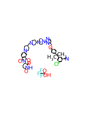 CC(C)(c1ccc(OCc2ccnc(N3CCN(C4CCN(CC5CCN(c6ccc7c(c6)C(=O)N(C6CCC(=O)NC6=O)C7=O)CC5)CC4)CC3)n2)cc1)c1cc(Cl)cc(C#N)c1.O=C(O)C(F)(F)F